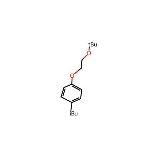 CCC(C)c1ccc(OCCOC(C)(C)C)cc1